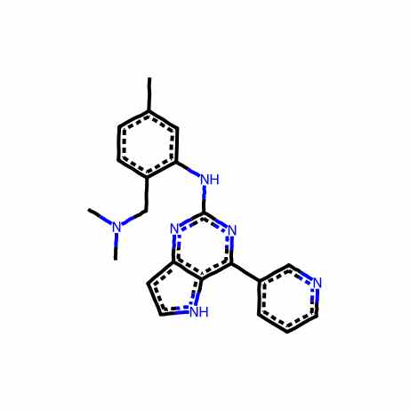 Cc1ccc(CN(C)C)c(Nc2nc(-c3cccnc3)c3[nH]ccc3n2)c1